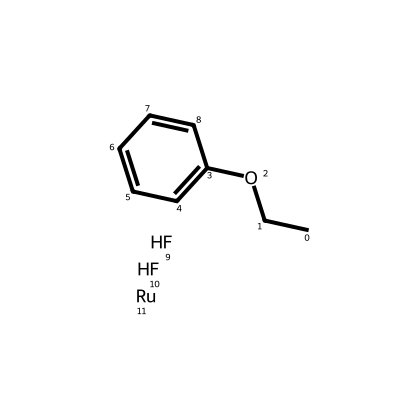 CCOc1ccccc1.F.F.[Ru]